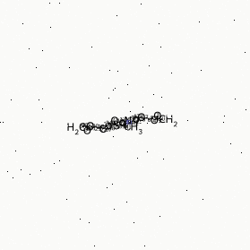 C=CC(=O)OCCCCOc1ccc(/C=N/c2ccc(SC(=O)c3ccc(OCCCCOC(=O)C=C)cc3)cc2C)cc1